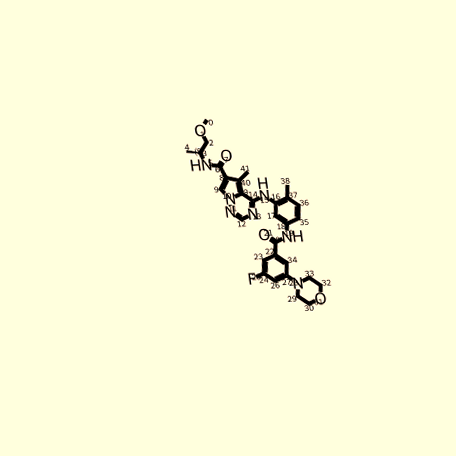 COC[C@H](C)NC(=O)c1cn2ncnc(Nc3cc(NC(=O)c4cc(F)cc(N5CCOCC5)c4)ccc3C)c2c1C